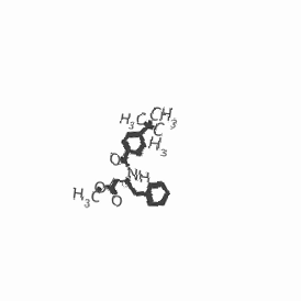 COC(=O)C[C@H](Cc1ccccc1)NC(=O)c1ccc(C(C)(C)C)cc1